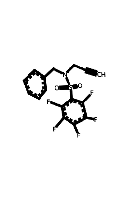 C#CCN(Cc1ccccc1)S(=O)(=O)c1c(F)c(F)c(F)c(F)c1F